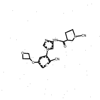 N#Cc1ccc(OC2COC2)cc1-n1cnc(NC(=O)C2CCN(C#N)C2)c1